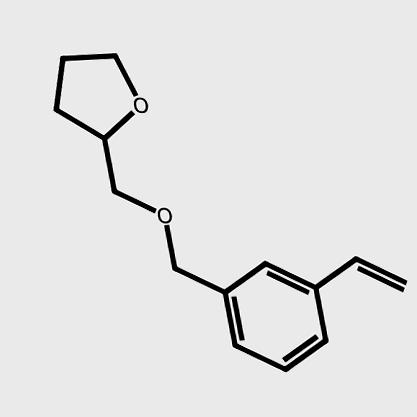 C=Cc1cccc(COCC2CCCO2)c1